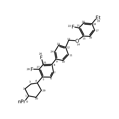 CCCC1CCC(c2ccc(-c3ccc(COc4ccc(CC)cc4F)cc3)c(F)c2F)CC1